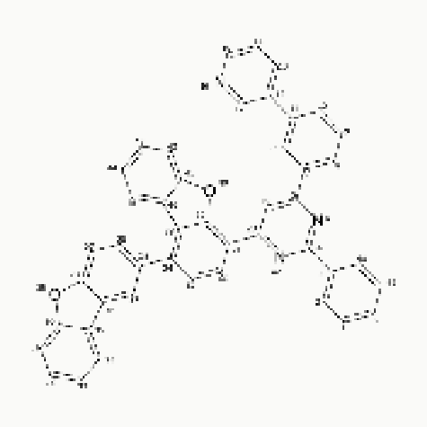 c1ccc(-c2nc(-c3cccc(-c4cccnc4)c3)cc(-c3ccc(-c4ccc5oc6ccccc6c5c4)c4c3oc3ccccc34)n2)cc1